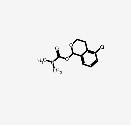 CN(C)C(=O)OC1OCCc2c(Cl)cccc21